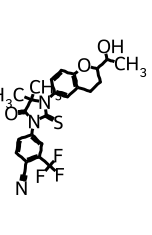 CC(O)C1CCc2cc(N3C(=S)N(c4ccc(C#N)c(C(F)(F)F)c4)C(=O)C3(C)C)ccc2O1